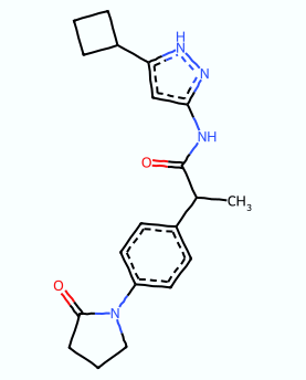 CC(C(=O)Nc1cc(C2CCC2)[nH]n1)c1ccc(N2CCCC2=O)cc1